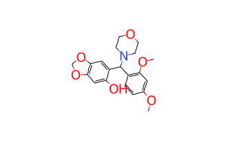 COc1ccc(C(c2cc3c(cc2O)OCO3)N2CCOCC2)c(OC)c1